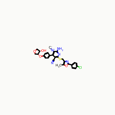 [C-]#[N+]c1c(N)nc(SCc2nc(-c3ccc(Cl)cc3)oc2C)c(C#N)c1-c1ccc(O[C@H]2COC[C@@H]2O)cc1